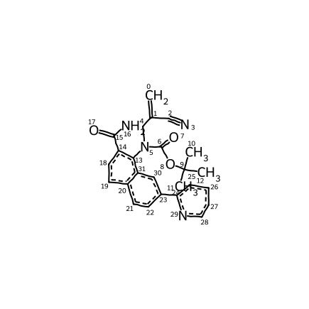 C=C(C#N)CN(C(=O)OC(C)(C)C)c1c(C(N)=O)ccc2ccc(-c3ccccn3)cc12